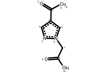 CC(=O)c1cnn(CC(=O)O)c1